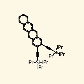 CC(C)[Si](C#Cc1cc2cc3cc4ccccc4cc3cc2cc1C#C[Si](C(C)C)(C(C)C)C(C)C)(C(C)C)C(C)C